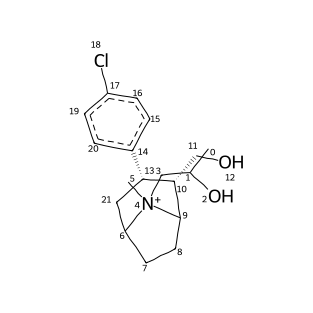 CC(O)C[N+]1(C)C2CCC1[C@@H](CO)[C@@H](c1ccc(Cl)cc1)C2